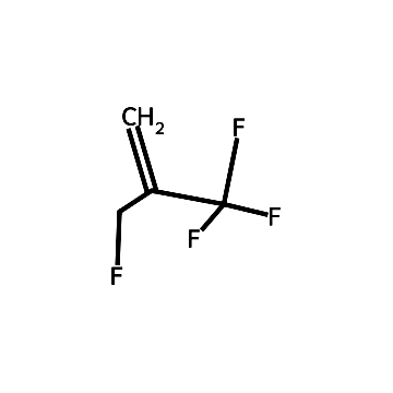 C=C(CF)C(F)(F)F